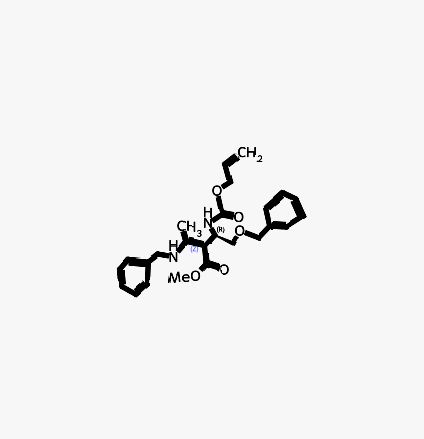 C=CCOC(=O)N[C@@H](COCc1ccccc1)/C(C(=O)OC)=C(\C)NCc1ccccc1